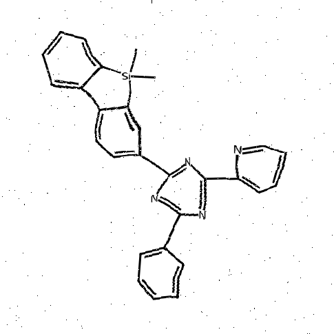 C[Si]1(C)c2ccccc2-c2ccc(-c3nc(-c4ccccc4)nc(-c4ccccn4)n3)cc21